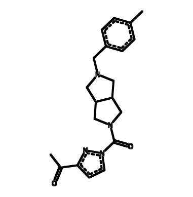 CC(=O)c1ccn(C(=O)N2CC3CN(Cc4ccc(C)cc4)CC3C2)n1